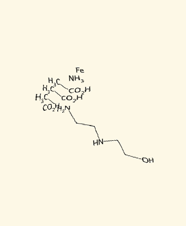 CC(=O)O.CC(=O)O.CC(=O)O.N.NCCNCCO.[Fe]